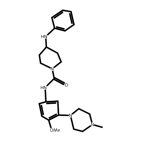 COc1ccc(NC(=O)N2CCC(Nc3ccccc3)CC2)cc1N1CCN(C)CC1